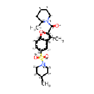 Cc1c(C(=O)N2CCCCC2C)oc2ccc(S(=O)(=O)N3CCC(C)CC3)cc12